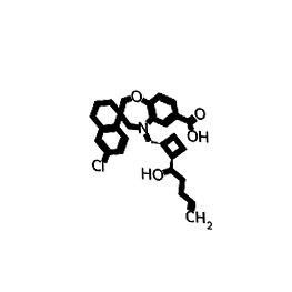 C=CCCC(O)[C@@H]1CC[C@H]1CN1CC2(CCCc3cc(Cl)ccc32)COc2ccc(C(=O)O)cc21